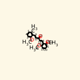 COc1cccc(C)c1/C=C/C(=O)/C=C/c1c(OC)cccc1OC